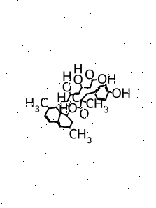 C[C@H]1C=C2C=C[C@H](C)[C@H](CC[C@@H](O)C[C@@H](O)CC(=O)O)[C@H]2[C@@H](OC(=O)C(C)(C)Cc2ccc(O)cc2)C1